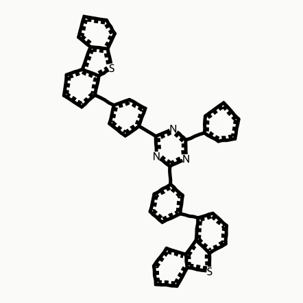 c1ccc(-c2nc(-c3ccc(-c4cccc5c4sc4ccccc45)cc3)nc(-c3cccc(-c4cccc5sc6ccccc6c45)c3)n2)cc1